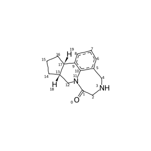 O=C1CNCc2cccc3c2N1C[C@@H]1CCC[C@H]31